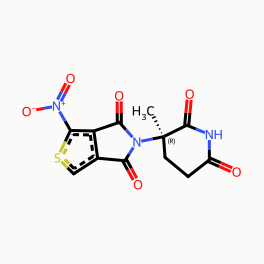 C[C@@]1(N2C(=O)c3csc([N+](=O)[O-])c3C2=O)CCC(=O)NC1=O